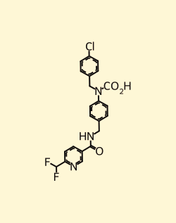 O=C(NCc1ccc(N(Cc2ccc(Cl)cc2)C(=O)O)cc1)c1ccc(C(F)F)nc1